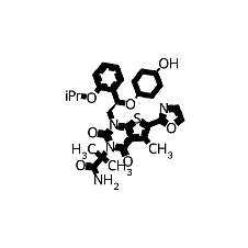 Cc1c(-c2ncco2)sc2c1c(=O)n(C(C)(C)C(N)=O)c(=O)n2C[C@H](O[C@H]1CC[C@@H](O)CC1)c1ccccc1OC(C)C